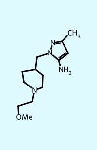 COCCN1CCC(Cn2nc(C)cc2N)CC1